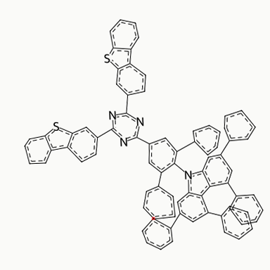 c1ccc(-c2cc(-c3ccccc3)c3c4c(-c5ccccc5)cc(-c5ccccc5)cc4n(-c4c(-c5ccccc5)cc(-c5nc(-c6ccc7c(c6)sc6ccccc67)nc(-c6ccc7c(c6)sc6ccccc67)n5)cc4-c4ccccc4)c3c2)cc1